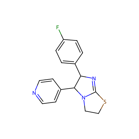 Fc1ccc(C2N=C3SCCN3C2c2ccncc2)cc1